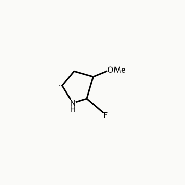 COC1C[CH]NC1F